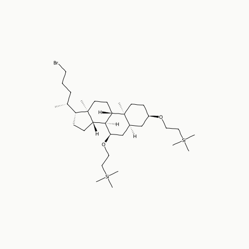 C[C@H](CCCBr)[C@H]1CC[C@H]2[C@@H]3[C@H](OCC[Si](C)(C)C)C[C@@H]4C[C@H](OCC[Si](C)(C)C)CC[C@]4(C)[C@H]3CC[C@]12C